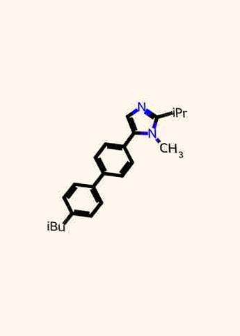 CCC(C)c1ccc(-c2ccc(-c3cnc(C(C)C)n3C)cc2)cc1